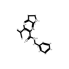 C=C1CCO/C1=N/C(C(=O)OCc1ccccc1)=C(\C)C(C)C